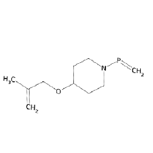 C=PN1CCC(OCC(=C)C)CC1